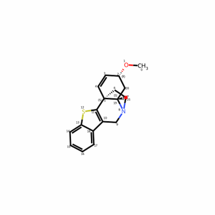 CO[C@H]1C=C[C@]23CCN(Cc4c2sc2ccccc42)[C@H]3C1